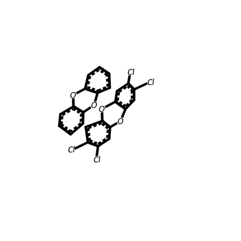 Clc1cc2c(cc1Cl)Oc1cc(Cl)c(Cl)cc1O2.c1ccc2c(c1)Oc1ccccc1O2